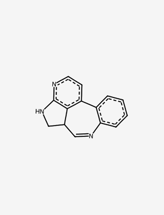 C1=Nc2ccccc2-c2ccnc3c2C1CN3